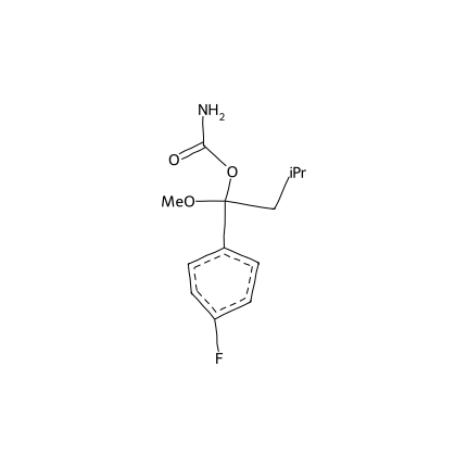 COC(CC(C)C)(OC(N)=O)c1ccc(F)cc1